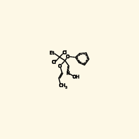 CC=COC(C=NO)(Oc1ccccc1)C(Cl)(Cl)CC